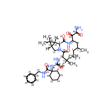 CCC(C)CC(NC(=O)[C@@H]1[C@@H]2[C@H](CN1C(=O)[C@@H](NC(=O)NC1(C(=O)NCc3ccccc3)CCCCC1)C(C)(C)C)C2(C)C)C(=O)C(N)=O